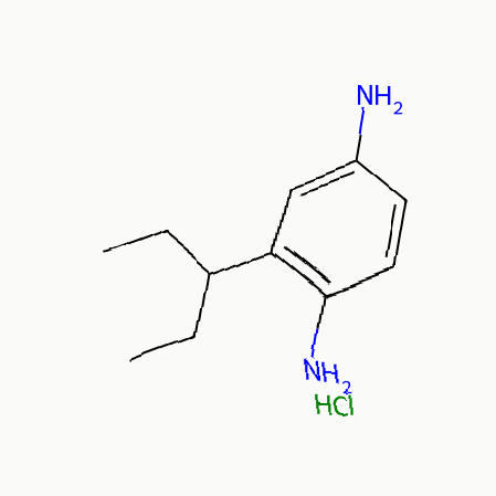 CCC(CC)c1cc(N)ccc1N.Cl